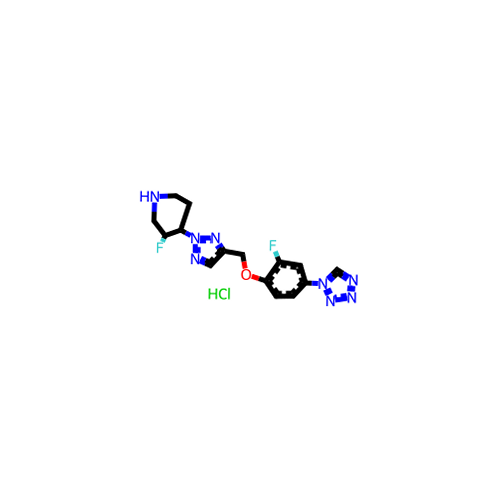 Cl.Fc1cc(-n2cnnn2)ccc1OCc1cnn(C2CCNCC2F)n1